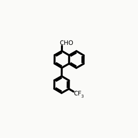 O=Cc1ccc(-c2cccc(C(F)(F)F)c2)c2ccccc12